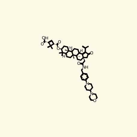 CC(C)C1=C2[C@H]3CC[C@@H]4[C@@]5(C)CC[C@H](OC(=O)[C@H]6C[C@@H](C(=O)O)C6(C)C)C(C)(C)[C@@H]5CC[C@@]4(C)[C@]3(C)CC[C@@]2(CC(=O)NCc2ccc(N3CCC(N4CCOCC4)CC3)cc2)CC1=O